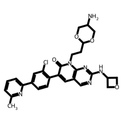 Cc1cccc(-c2ccc(-c3cc4cnc(NC5COC5)nc4n(CCC4OCC(N)CO4)c3=O)c(Cl)c2)n1